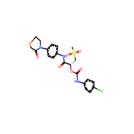 CS(=O)(=O)C[C@H](OC(=O)Nc1ccc(Cl)cc1)C(=O)Nc1ccc(N2CCOCC2=O)cc1